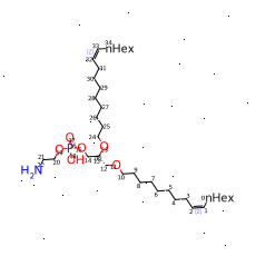 CCCCCC/C=C\CCCCCCCCOC[C@H](COP(=O)(O)OCCN)OCCCCCCCC/C=C\CCCCCC